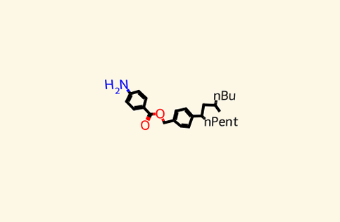 CCCCCC(CC(C)CCCC)c1ccc(COC(=O)c2ccc(N)cc2)cc1